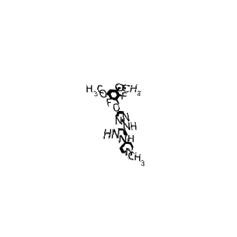 COc1cc(OC)c(F)c(COc2cnc(N/C(C=N)=C/NC3CCN(C)CC3)nc2)c1F